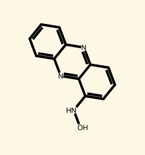 ONc1cccc2nc3ccccc3nc12